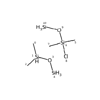 C[SiH](C)O[SiH3].C[Si](C)(Cl)O[SiH3]